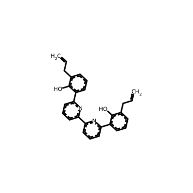 C=CCc1cccc(-c2cccc(-c3cccc(-c4cccc(CC=C)c4O)n3)n2)c1O